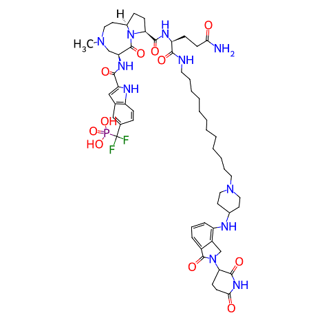 CN1CC[C@H]2CC[C@@H](C(=O)N[C@@H](CCC(N)=O)C(=O)NCCCCCCCCCCCCN3CCC(Nc4cccc5c4CN(C4CCC(=O)NC4=O)C5=O)CC3)N2C(=O)[C@@H](NC(=O)c2cc3cc(C(F)(F)P(=O)(O)O)ccc3[nH]2)C1